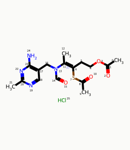 CC(=O)OCC/C(SC(C)=O)=C(\C)N(C=O)Cc1cnc(C)nc1N.Cl